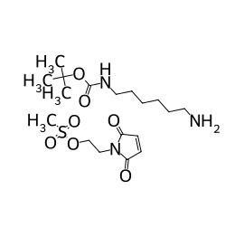 CC(C)(C)OC(=O)NCCCCCCN.CS(=O)(=O)OCCN1C(=O)C=CC1=O